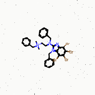 C[N+](C)(CCN(Cc1ccccc1)c1nc2c(Br)c(Br)c(Br)c(Br)c2n1Cc1ccccc1)Cc1ccccc1